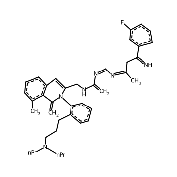 C=C(/N=C\N=C(\C)CC(=N)c1cccc(F)c1)NCC1=Cc2cccc(C)c2C(=C)N1c1ccccc1CCCN(CCC)CCC